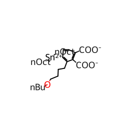 CCCCCCC[CH2][Sn+2][CH2]CCCCCCC.CCCCOCCCCc1cccc(C(=O)[O-])c1C(=O)[O-]